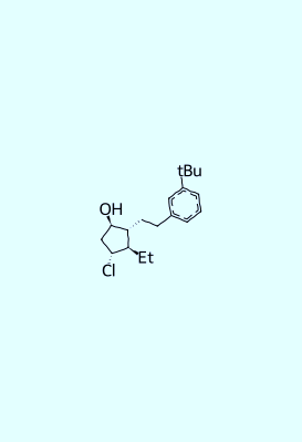 CC[C@@H]1[C@@H](CCc2cccc(C(C)(C)C)c2)[C@H](O)C[C@H]1Cl